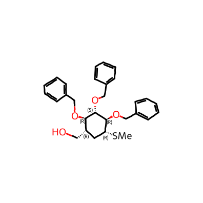 CS[C@@H]1C[C@H](CO)[C@@H](OCc2ccccc2)[C@H](OCc2ccccc2)[C@H]1OCc1ccccc1